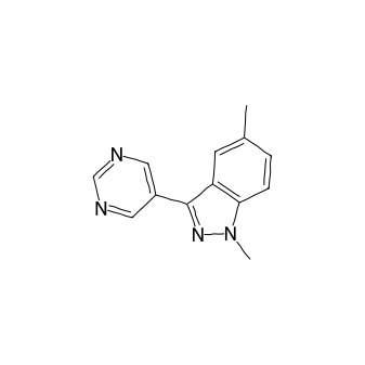 Cc1ccc2c(c1)c(-c1cncnc1)nn2C